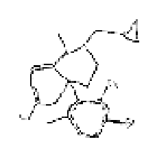 CCC1=CC=C2C(C)N(CC3CC3)CCC2(c2c(C)ccc(Br)c2CC)C1